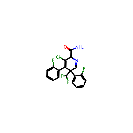 NC(=O)C1N=CC(c2ccccc2F)(C(F)F)C(c2ccccc2F)=C1Cl